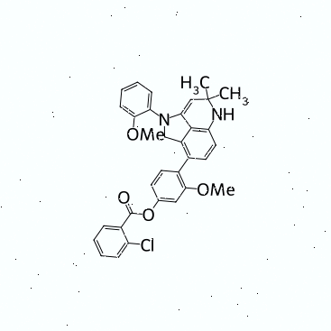 COc1cc(OC(=O)c2ccccc2Cl)ccc1-c1ccc2c3c1CN(c1ccccc1OC)C3=CC(C)(C)N2